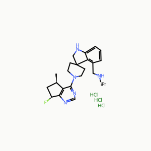 CC(C)NCc1cccc2c1C1(CCN(c3ncnc4c3[C@H](C)C[C@@H]4F)CC1)CN2.Cl.Cl.Cl